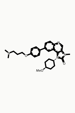 CO[C@H]1CC[C@H](n2c(=O)n(C)c3cnc4ccc(-c5ccc(OCCCN(C)C)cc5)cc4c32)CC1